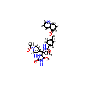 CC(=O)N1CCC(C(C)(NC(=O)c2ccc(COc3cccc4ncccc34)cc2)C2NC(=O)NC2=O)CC1